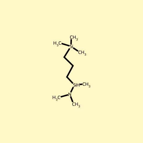 CN(C)[SiH](C)CCC[Si](C)(C)C